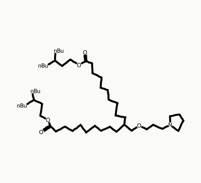 CCCCC(CCCC)CCOC(=O)CCCCCCCCCC(CCCCCCCCCC(=O)OCCC(CCCC)CCCC)COCCCN1CCCC1